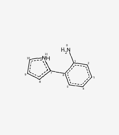 Nc1ccccc1-c1ccc[nH]1